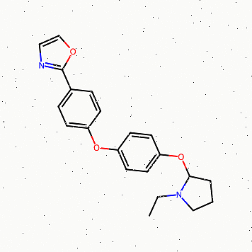 CCN1CCCC1Oc1ccc(Oc2ccc(-c3ncco3)cc2)cc1